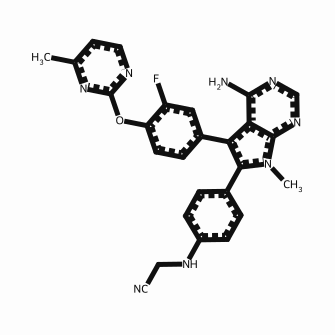 Cc1ccnc(Oc2ccc(-c3c(-c4ccc(NCC#N)cc4)n(C)c4ncnc(N)c34)cc2F)n1